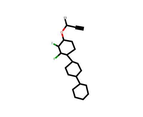 C#CC(CC)OC1CCC(C2CCC(C3CCCCC3)CC2)C(F)C1F